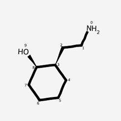 NCC[C@H]1CCCC[C@H]1O